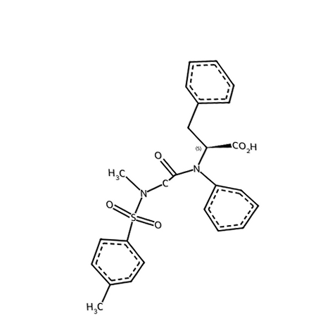 Cc1ccc(S(=O)(=O)N(C)CC(=O)N(c2ccccc2)[C@@H](Cc2ccccc2)C(=O)O)cc1